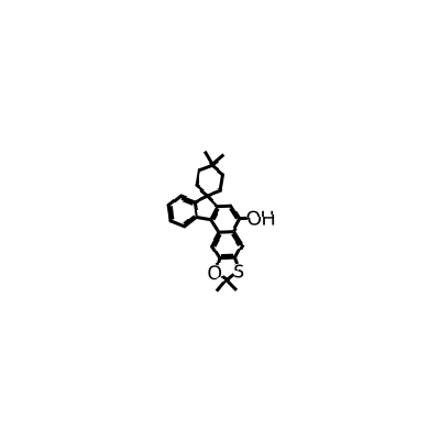 CC1(C)CCC2(CC1)c1ccccc1-c1c2cc(O)c2cc3c(cc12)OC(C)(C)S3